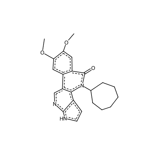 COc1cc2c(=O)n(C3CCCCCC3)c3c4cc[nH]c4ncc3c2cc1OC